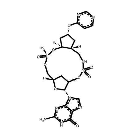 Nc1nc2c(ncn2[C@@H]2O[C@@H]3CO[P@@](=O)(S)O[C@H]4C[C@H](Oc5ccncn5)C[C@@H]4CNS(=O)(=O)O[C@@H]2C3)c(=O)[nH]1